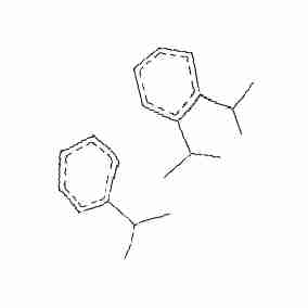 CC(C)c1ccccc1.CC(C)c1ccccc1C(C)C